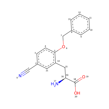 N#Cc1ccc(OCc2ccccc2)c(C[C@H](N)C(=O)O)c1